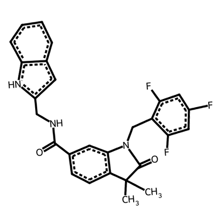 CC1(C)C(=O)N(Cc2c(F)cc(F)cc2F)c2cc(C(=O)NCc3cc4ccccc4[nH]3)ccc21